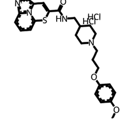 COc1ccc(OCCCN2CCC(CNC(=O)C3=Cc4cnc5cccc(n45)S3)CC2)cc1.Cl.Cl